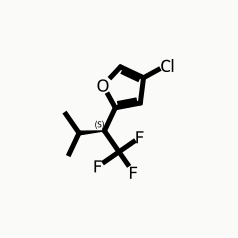 CC(C)[C@@H](c1cc(Cl)co1)C(F)(F)F